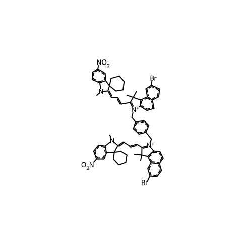 CN1/C(=C/C=C/C2=[N+](Cc3ccc(C[N+]4=C(/C=C/C=C5/N(C)c6ccc([N+](=O)[O-])cc6C56CCCCC6)C(C)(C)c5c4ccc4ccc(Br)cc54)cc3)c3ccc4ccc(Br)cc4c3C2(C)C)C2(CCCCC2)c2cc([N+](=O)[O-])ccc21